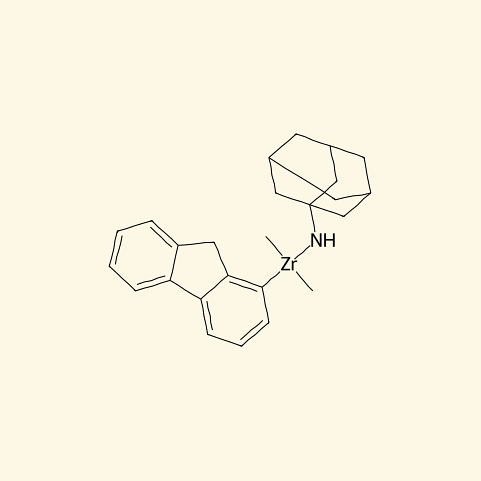 [CH3][Zr]([CH3])([NH]C12CC3CC(CC(C3)C1)C2)[c]1cccc2c1Cc1ccccc1-2